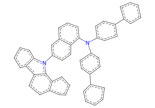 c1ccc(-c2ccc(N(c3ccc(-c4ccccc4)cc3)c3cccc4cc(-n5c6ccccc6c6ccc7ccccc7c65)ccc34)cc2)cc1